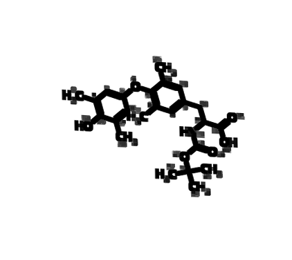 Cc1cc(Oc2c(C)cc(CC(NC(=O)OC(C)(C)C)C(=O)O)cc2C)cc(C)c1O